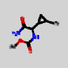 CC(C)C1CC1C(NC(=O)OC(C)(C)C)C(N)=O